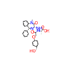 C[C@@H](C(=O)O)N(N[C@@H]1N=C(c2ccccc2)c2ccccc2N(C)C1=O)C(=O)COc1ccc(CO)cc1